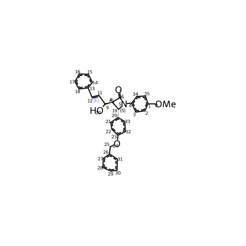 COc1ccc(N2C(=O)[C@H](C(O)/C=C/c3ccccc3)[C@H]2c2ccc(OCc3ccccc3)cc2)cc1